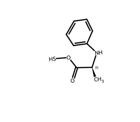 C[C@H](Nc1ccccc1)C(=O)OS